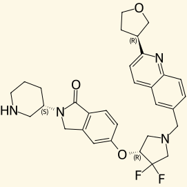 O=C1c2ccc(O[C@@H]3CN(Cc4ccc5nc([C@H]6CCOC6)ccc5c4)CC3(F)F)cc2CN1[C@H]1CCCNC1